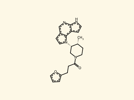 C[C@@H]1CCN(C(=O)CCc2ccco2)C[C@@H]1n1ccc2cnc3[nH]ccc3c21